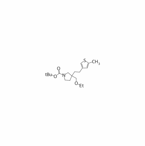 CCOCC1(CCc2csc(C)c2)CCN(C(=O)OC(C)(C)C)C1